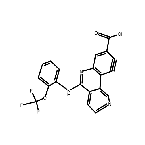 O=C(O)c1c#cc2c(c1)nc(Nc1ccccc1OC(F)(F)F)c1ccncc12